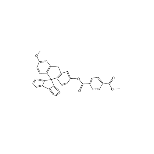 COC(=O)c1ccc(C(=O)Oc2ccc3c(c2)Cc2cc(OC)ccc2C32c3ccccc3-c3ccccc32)cc1